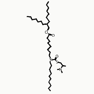 CCCCCCCCCCN(CCCCCCCC(=O)OCC(CCCCCCC)CCCCCCC)C(=O)SCC(C)N(C)C